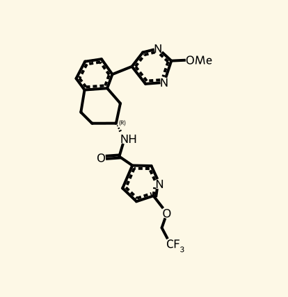 COc1ncc(-c2cccc3c2C[C@H](NC(=O)c2ccc(OCC(F)(F)F)nc2)CC3)cn1